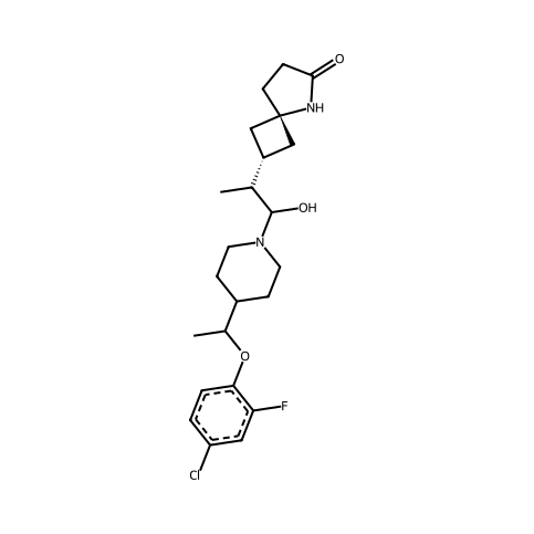 CC(Oc1ccc(Cl)cc1F)C1CCN(C(O)C(C)[C@H]2C[C@]3(CCC(=O)N3)C2)CC1